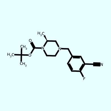 C[C@H]1CN(Cc2ccc(F)c(C#N)c2)CCN1C(=O)OC(C)(C)C